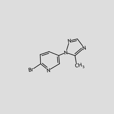 Cc1ncnn1-c1ccc(Br)nc1